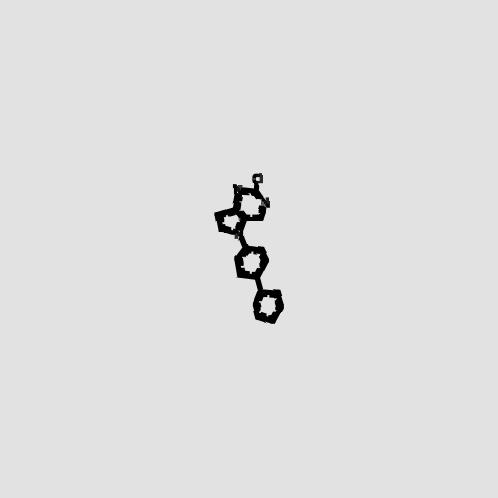 Clc1ncc2c(ccn2-c2ccc(-c3ccccc3)cc2)n1